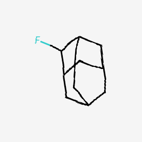 FC1C2CC3CC(C2)CC1C3